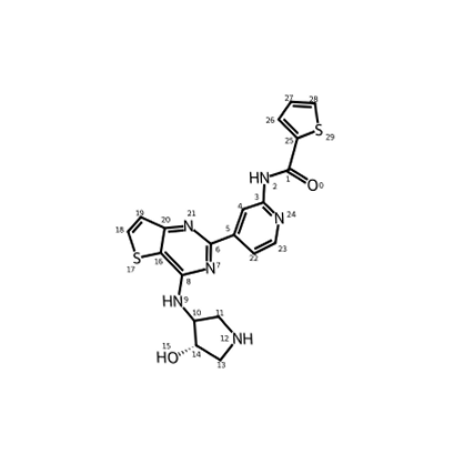 O=C(Nc1cc(-c2nc(NC3CNC[C@@H]3O)c3sccc3n2)ccn1)c1cccs1